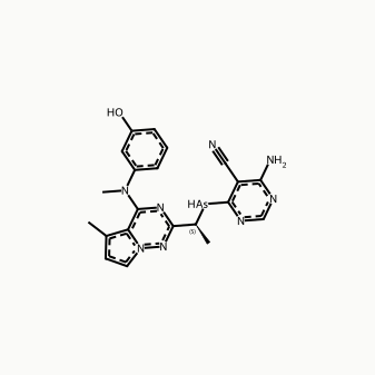 Cc1ccn2nc([C@H](C)[AsH]c3ncnc(N)c3C#N)nc(N(C)c3cccc(O)c3)c12